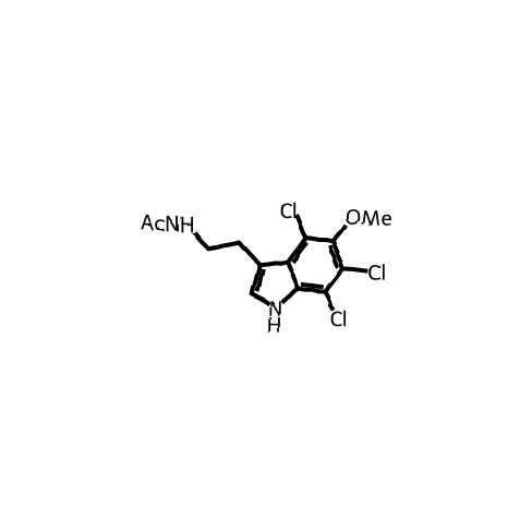 COc1c(Cl)c(Cl)c2[nH]cc(CCNC(C)=O)c2c1Cl